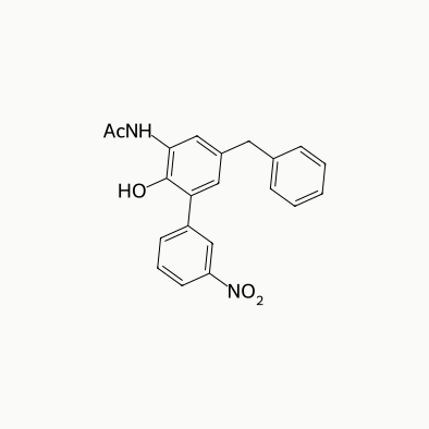 CC(=O)Nc1cc(Cc2ccccc2)cc(-c2cccc([N+](=O)[O-])c2)c1O